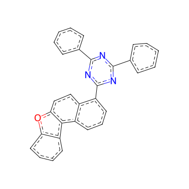 c1ccc(-c2nc(-c3ccccc3)nc(-c3cccc4c3ccc3oc5ccccc5c34)n2)cc1